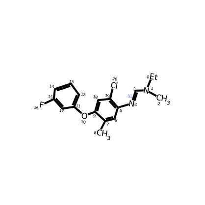 CCN(C)/C=N/c1cc(C)c(Oc2cccc(F)c2)cc1Cl